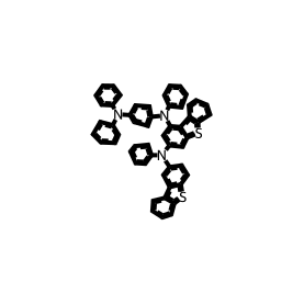 c1ccc(N(c2ccccc2)c2ccc(N(c3ccccc3)c3cc(N(c4ccccc4)c4ccc5sc6ccccc6c5c4)cc4sc5ccccc5c34)cc2)cc1